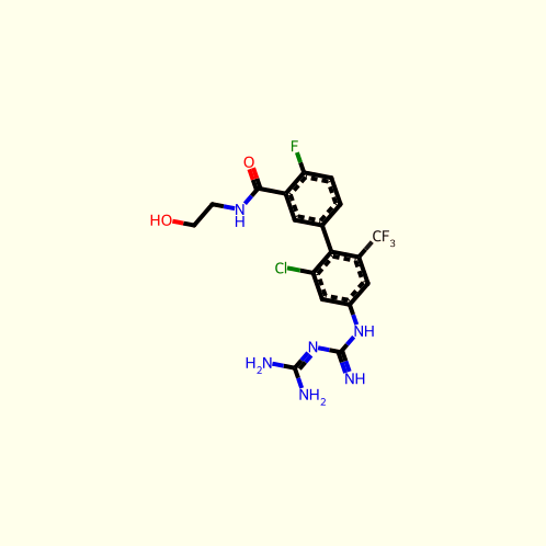 N=C(N=C(N)N)Nc1cc(Cl)c(-c2ccc(F)c(C(=O)NCCO)c2)c(C(F)(F)F)c1